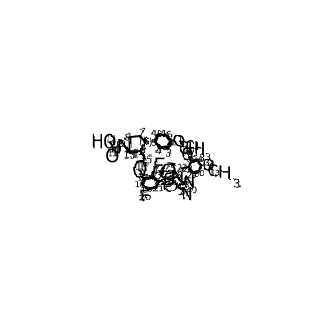 COc1ccc([C@H]2CCN(C(=O)O)CC2COc2cc(F)cc(S(=O)(=O)N(Cc3ccc(OC)cc3OC)c3ncns3)c2F)cc1